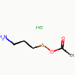 CCC(=O)OSCCCN.Cl